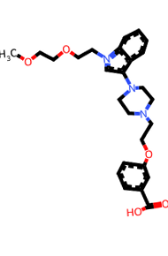 COCCOCCn1cc(N2CCN(CCOc3cccc(C(=O)O)c3)CC2)c2ccccc21